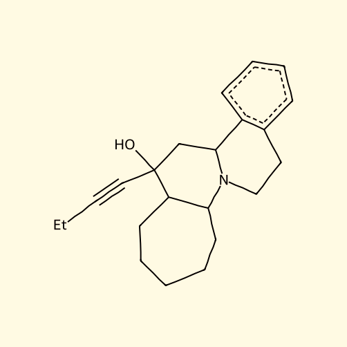 CCC#CC1(O)CC2c3ccccc3CCN2C2CCCCCC21